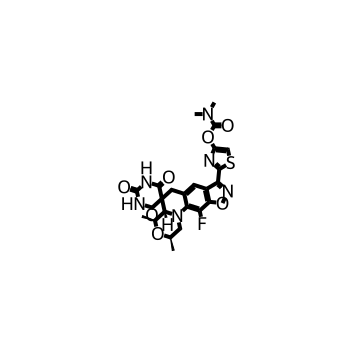 C[C@@H]1CN2c3c(cc4c(-c5nc(OC(=O)N(C)C)cs5)noc4c3F)CC3(C(=O)NC(=O)NC3=O)[C@H]2[C@H](C)O1